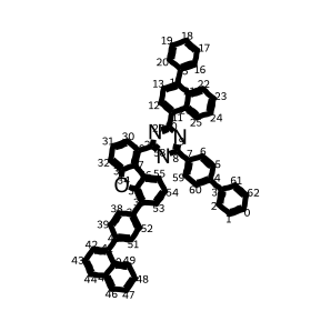 c1ccc(-c2ccc(-c3nc(-c4ccc(-c5ccccc5)c5ccccc45)nc(-c4cccc5oc6c(-c7ccc(-c8cccc9ccccc89)cc7)cccc6c45)n3)cc2)cc1